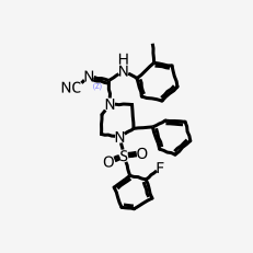 Cc1ccccc1N/C(=N/C#N)N1CCN(S(=O)(=O)c2ccccc2F)C(c2ccccc2)C1